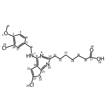 COc1ccc(CNc2nc(CCCCCCC(=O)O)nc3sc(Cl)cc23)cc1Cl